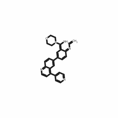 C=C/N=C1/C=CC(c2ccc3nccc(-c4ccncc4)c3c2)=C/C1=C(/N)N1CCOCC1